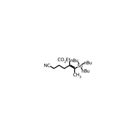 CCC[CH2][Sn]([CH2]CCC)([CH2]CCC)/[C](C)=C(/CCCC#N)C(=O)OCC